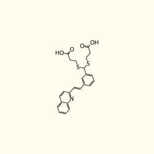 O=C(O)CCSC(SCCC(=O)O)c1cccc(C=Cc2ccc3ccccc3n2)c1